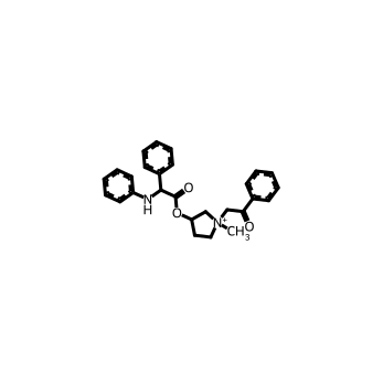 C[N+]1(CC(=O)c2ccccc2)CCC(OC(=O)C(Nc2ccccc2)c2ccccc2)C1